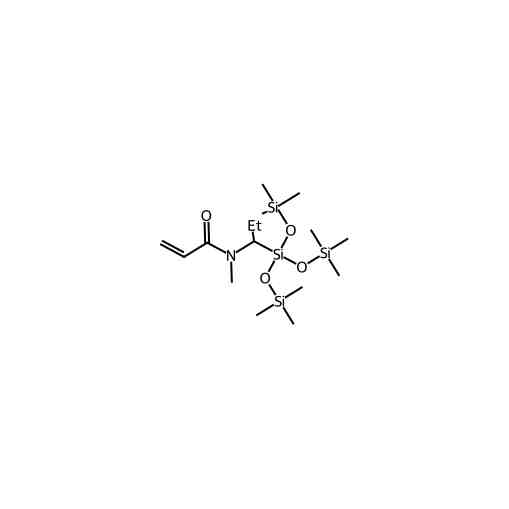 C=CC(=O)N(C)C(CC)[Si](O[Si](C)(C)C)(O[Si](C)(C)C)O[Si](C)(C)C